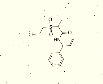 C=CC(NC(=O)C(C)S(=O)(=O)CCCl)c1ccccc1